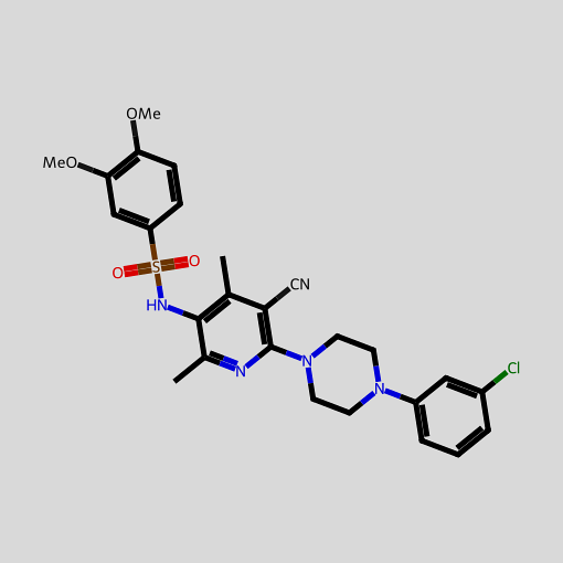 COc1ccc(S(=O)(=O)Nc2c(C)nc(N3CCN(c4cccc(Cl)c4)CC3)c(C#N)c2C)cc1OC